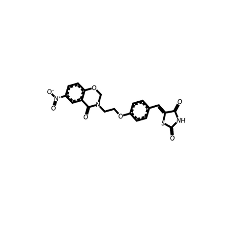 O=C1NC(=O)C(=Cc2ccc(OCCN3COc4ccc([N+](=O)[O-])cc4C3=O)cc2)S1